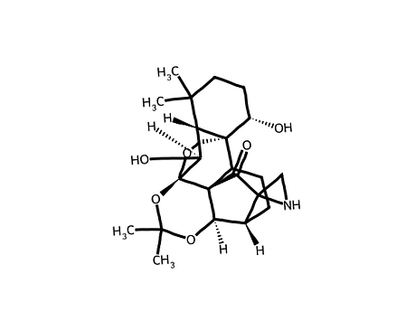 CC1(C)O[C@@H]2[C@H]3CCC4[C@@]56CO[C@](O1)([C@@H](O)[C@@H]5C(C)(C)CC[C@@H]6O)[C@]42C(=O)C31CN1